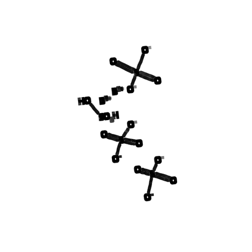 O=S(=O)(O)O.O=S(=O)([O-])[O-].O=S(=O)([O-])[O-].O=S(=O)([O-])[O-].[B+3].[B+3]